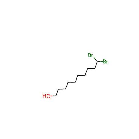 OCCCCCCCCCC(Br)Br